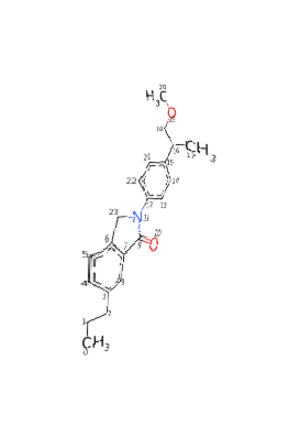 CCCc1ccc2c(c1)C(=O)N(c1ccc(C(C)COC)cc1)C2